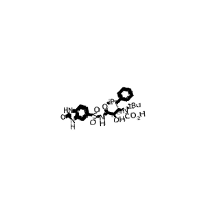 CC(C)OC(NS(=O)(=O)c1ccc2[nH]c(=O)[nH]c2c1)[C@H](O)[C@H](Cc1ccccc1)N(C(=O)O)C(C)(C)C